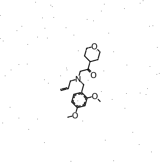 C=CCN(CC(=O)C1CCOCC1)Cc1ccc(OC)cc1OC